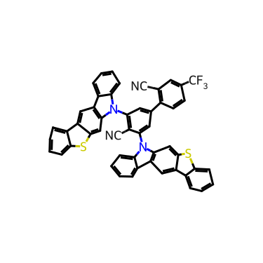 N#Cc1cc(C(F)(F)F)ccc1-c1cc(-n2c3ccccc3c3cc4c(cc32)sc2ccccc24)c(C#N)c(-n2c3ccccc3c3cc4c(cc32)sc2ccccc24)c1